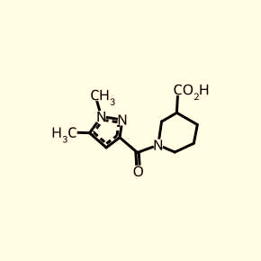 Cc1cc(C(=O)N2CCCC(C(=O)O)C2)nn1C